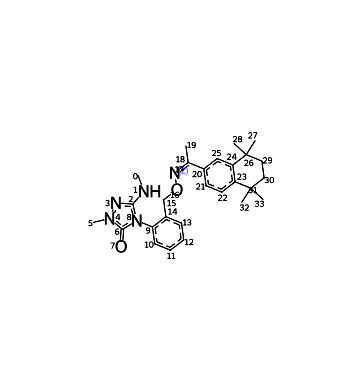 CNc1nn(C)c(=O)n1-c1ccccc1CO/N=C(/C)c1ccc2c(c1)C(C)(C)CCC2(C)C